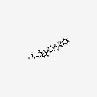 Cc1cn(CCCC(=O)O)c(=O)nc1N1CCC(CNc2nc3ccccc3[nH]2)CC1